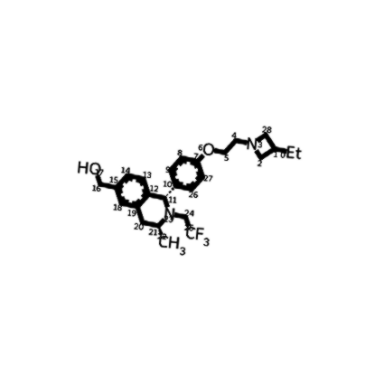 CCC1CN(CCOc2ccc([C@H]3c4ccc(CO)cc4C[C@H](C)N3CC(F)(F)F)cc2)C1